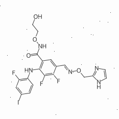 O=C(NOCCO)c1cc(/C=N/OCc2ncc[nH]2)c(F)c(F)c1Nc1ccc(I)cc1F